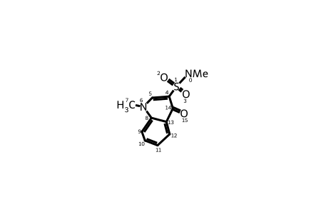 CNS(=O)(=O)c1cn(C)c2ccccc2c1=O